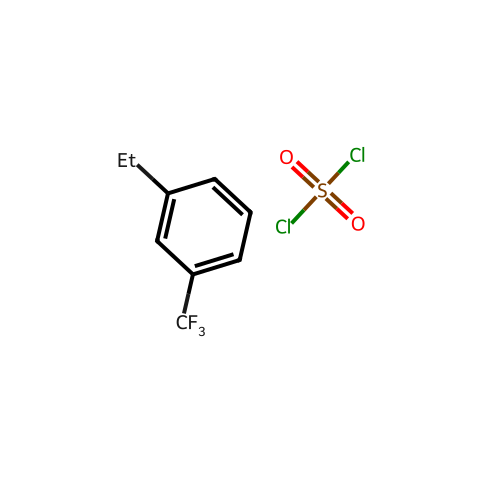 CCc1cccc(C(F)(F)F)c1.O=S(=O)(Cl)Cl